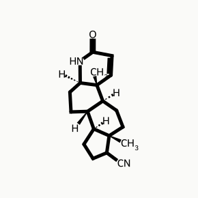 C[C@]12C=CC(=O)N[C@@H]1CC[C@@H]1[C@@H]2CC[C@]2(C)C(C#N)CC[C@@H]12